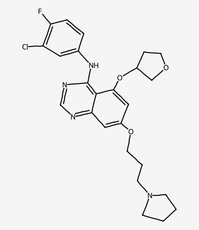 Fc1ccc(Nc2ncnc3cc(OCCCN4CCCC4)cc(OC4CCOC4)c23)cc1Cl